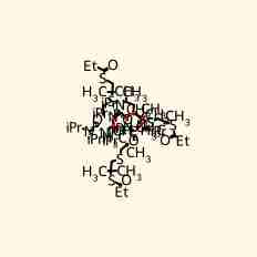 CCC(=O)SCC(C)(C)SCCOP(N(C(C)C)C(C)C)N(C(C)C)C(C)CCC(C)N(C(C)C)P(OC(C)(C)CSCC(C)(C)SC(=O)CC)N(C(C)C)C(C)CCC(C)N(C(C)C)P(OCC(C)(C)SCC(C)(C)SC(=O)CC)N(C(C)C)C(C)C